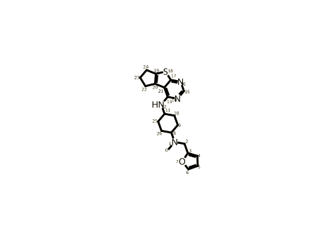 CN(Cc1ccco1)C1CCC(Nc2ncnc3sc4c(c23)CCC4)CC1